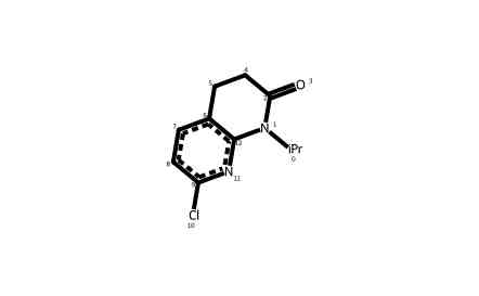 CC(C)N1C(=O)CCc2ccc(Cl)nc21